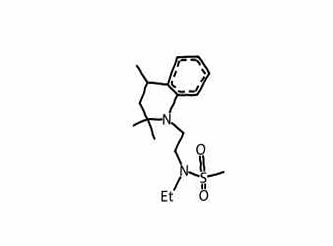 CCN(CCN1c2ccccc2C(C)CC1(C)C)S(C)(=O)=O